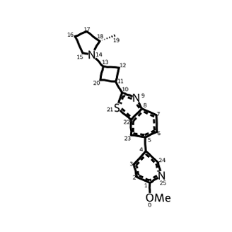 COc1ccc(-c2ccc3nc(C4CC(N5CCC[C@@H]5C)C4)sc3c2)cn1